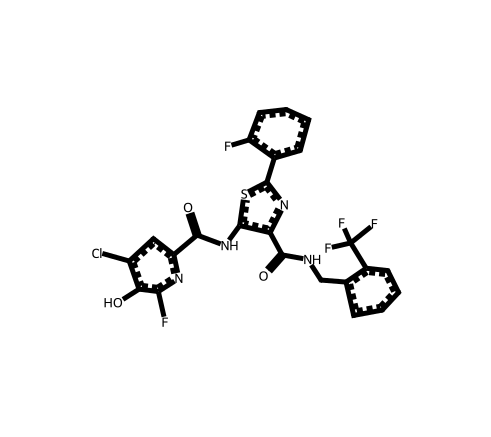 O=C(Nc1sc(-c2ccccc2F)nc1C(=O)NCc1ccccc1C(F)(F)F)c1cc(Cl)c(O)c(F)n1